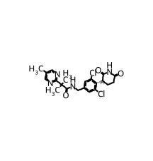 Cc1cnc(C(C)(C)C(=O)NCc2cc(Cl)c([C@H]3CCC(=O)NC3=O)c(Cl)c2)nc1